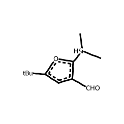 C[SiH](C)c1oc(C(C)(C)C)cc1C=O